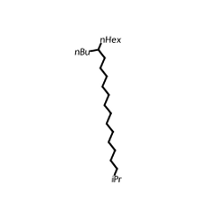 CCCCCCC(CCCC)CCCCCCCCCCCCCC(C)C